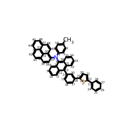 Cc1ccc(N(c2c3ccccc3c(-c3cccc(-c4ccc(-c5ccccc5)s4)c3)c3ccccc23)c2ccc3ccc4cccc5ccc2c3c45)cc1